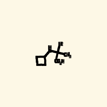 CCC(C)(NC1CCC1)C(=O)O